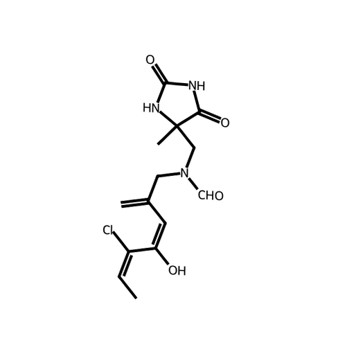 C=C(/C=C(O)\C(Cl)=C/C)CN(C=O)CC1(C)NC(=O)NC1=O